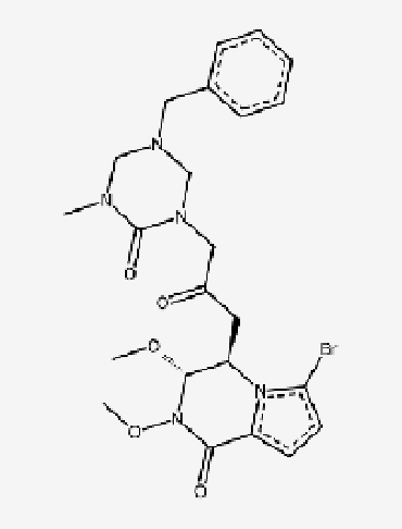 CO[C@@H]1[C@@H](CC(=O)CN2CN(Cc3ccccc3)CN(C)C2=O)n2c(Br)ccc2C(=O)N1OC